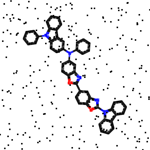 c1ccc(N(c2ccc3oc(-c4ccc5oc(-n6c7ccccc7c7ccccc76)nc5c4)nc3c2)c2ccc3c(c2)c2ccccc2n3-c2ccccc2)cc1